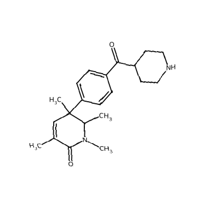 CC1=CC(C)(c2ccc(C(=O)C3CCNCC3)cc2)C(C)N(C)C1=O